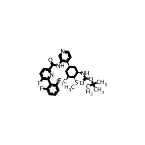 CS[C@@H]1[C@@H](C)C[C@@H](c2ccncc2NC(=O)c2ccc(F)c(-c3c(F)cccc3F)n2)C[C@H]1NC(=O)OC(C)(C)C